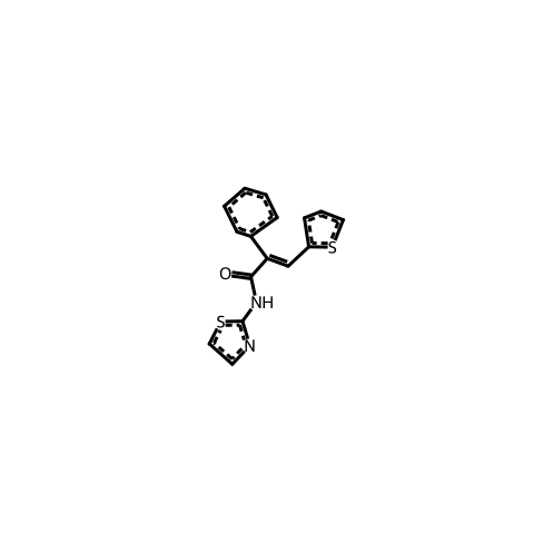 O=C(Nc1nccs1)/C(=C/c1cccs1)c1ccccc1